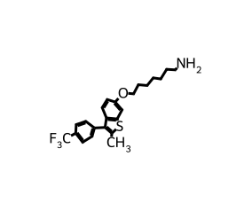 Cc1sc2cc(OCCCCCCCN)ccc2c1-c1ccc(C(F)(F)F)cc1